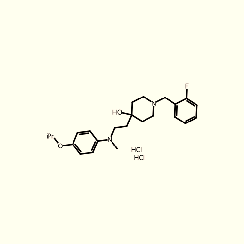 CC(C)Oc1ccc(N(C)CCC2(O)CCN(Cc3ccccc3F)CC2)cc1.Cl.Cl